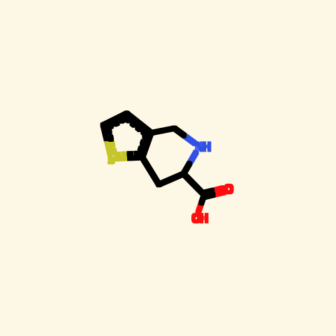 O=C(O)C1Cc2sccc2CN1